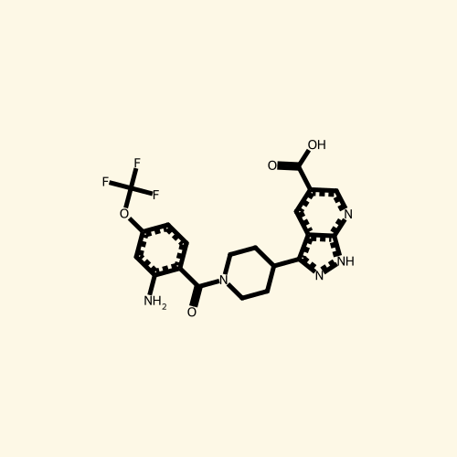 Nc1cc(OC(F)(F)F)ccc1C(=O)N1CCC(c2n[nH]c3ncc(C(=O)O)cc23)CC1